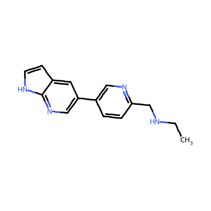 CCNCc1ccc(-c2cnc3[nH]ccc3c2)cn1